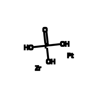 O=P(O)(O)O.[Pt].[Zr]